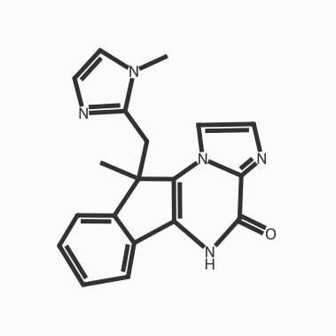 Cn1ccnc1CC1(C)c2ccccc2-c2[nH]c(=O)c3nccn3c21